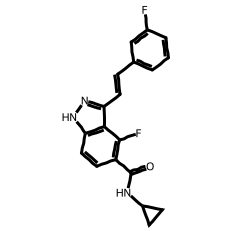 O=C(NC1CC1)c1ccc2[nH]nc(/C=C/c3cccc(F)c3)c2c1F